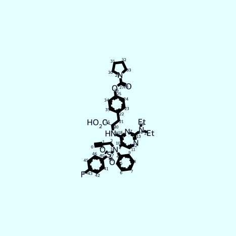 C#CC[N+](c1ccccc1)(c1cnc(N(CC)CC)nc1N[C@@H](Cc1ccc(OC(=O)N2CCCC2)cc1)C(=O)O)S(=O)(=O)c1ccc(F)cc1